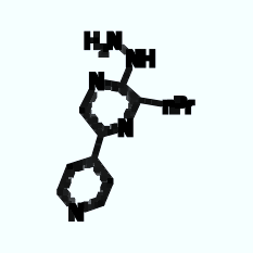 CCCc1nc(-c2ccncc2)cnc1NN